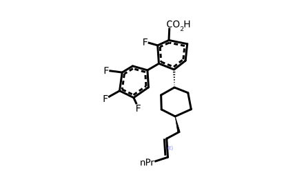 CCC/C=C/C[C@H]1CC[C@H](c2ccc(C(=O)O)c(F)c2-c2cc(F)c(F)c(F)c2)CC1